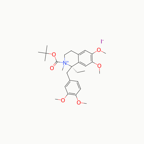 CC[C@@]1(Cc2ccc(OC)c(OC)c2)c2cc(OC)c(OC)cc2CC[N+]1(C)C(=O)OC(C)(C)C.[I-]